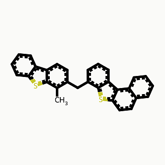 Cc1c(Cc2cccc3c2sc2ccc4ccccc4c23)ccc2c1sc1ccccc12